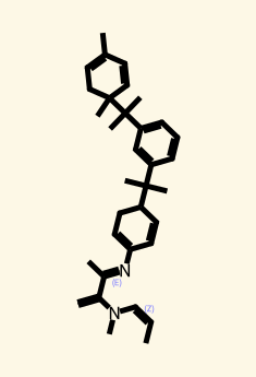 C=C(/C(C)=N/C1=CCC(C(C)(C)c2cccc(C(C)(C)C3(C)C=CC(C)=CC3)c2)C=C1)N(C)/C=C\C